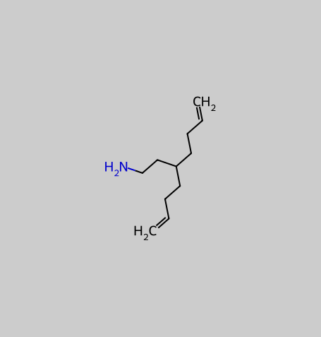 C=CCCC(CCN)CCC=C